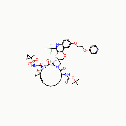 CC(C)(C)OC(=O)N[C@H]1CCCCC/C=C\[C@@H]2S[C@@]2(C(=O)NS(=O)(=O)C2(C)CC2)NC(=O)[C@@H]2C[C@]3(COc4c(c(C(F)(F)F)nc5ccc(OCCOc6ccncc6)cc45)O3)CN2C1=O